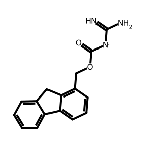 N=C(N)[N]C(=O)OCc1cccc2c1Cc1ccccc1-2